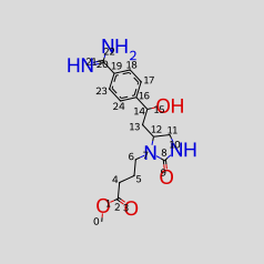 COC(=O)CCCN1C(=O)NCC1CC(O)c1ccc(C(=N)N)cc1